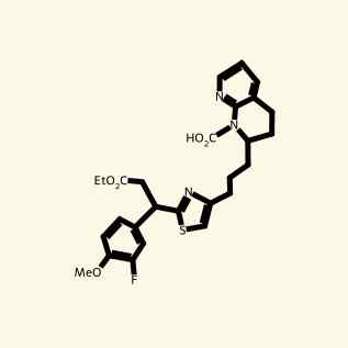 CCOC(=O)CC(c1ccc(OC)c(F)c1)c1nc(CCCC2CCc3cccnc3N2C(=O)O)cs1